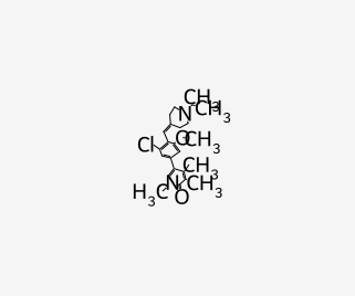 COc1cc(-c2cn(C)c(=O)c(C)c2C)cc(Cl)c1C=C1CCN(C(C)C)CC1